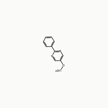 CCCCCCCCOc1cnc(-c2cc[c]cc2)nc1